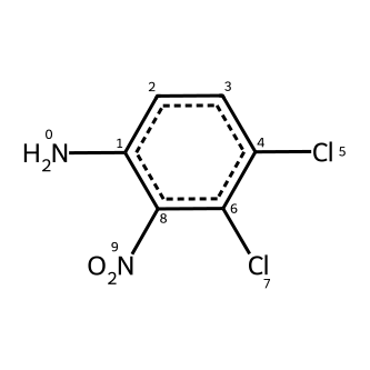 Nc1ccc(Cl)c(Cl)c1[N+](=O)[O-]